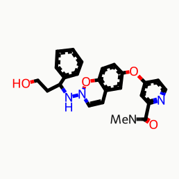 CNC(=O)c1cc(Oc2ccc3c(c2)C=CN(NC(CCO)c2ccccc2)O3)ccn1